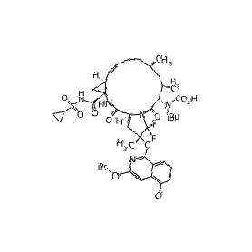 CCC(C)N(C(=O)O)[C@@H]1C(=O)N2[C@@H](C[C@@](C)(Oc3nc(OC(C)C)cc4c(Cl)cccc34)C2(F)F)C(=O)N[C@]2(C(=O)NS(=O)(=O)C3CC3)C[C@H]2/C=C\CC[C@@H](C)C[C@H]1C